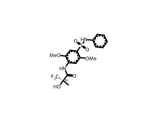 COc1cc(S(=O)(=O)Nc2ccccc2)c(OC)cc1NC(=O)[C@@](C)(O)C(F)(F)F